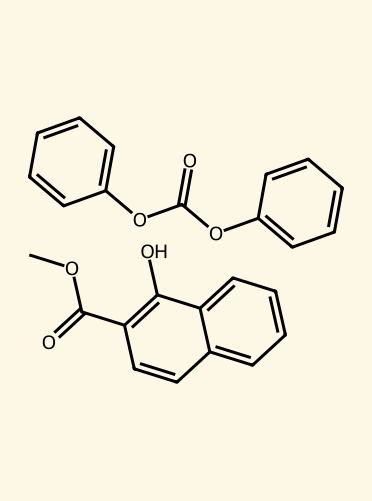 COC(=O)c1ccc2ccccc2c1O.O=C(Oc1ccccc1)Oc1ccccc1